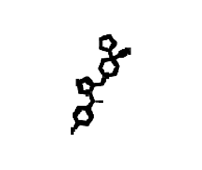 C[C@H](c1ccc(F)cc1)n1cncc1CN1CCC(C#N)(C2CCCC2)CC1